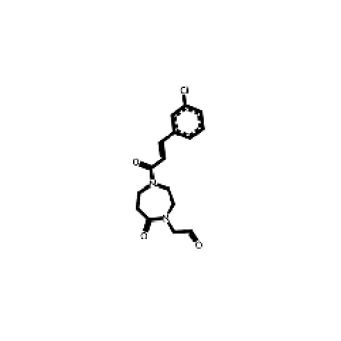 O=CCN1CCN(C(=O)/C=C/c2cccc(Cl)c2)CCC1=O